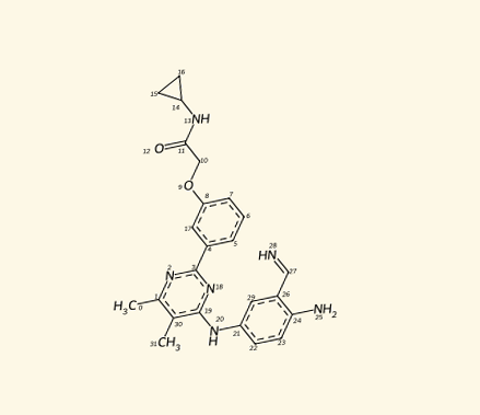 Cc1nc(-c2cccc(OCC(=O)NC3CC3)c2)nc(Nc2ccc(N)c(C=N)c2)c1C